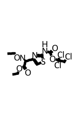 CCO/N=C(\C(=O)OCC)c1csc(NC(=O)OC(Cl)(Cl)CCl)n1